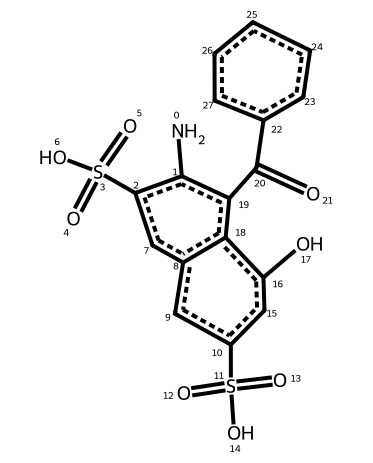 Nc1c(S(=O)(=O)O)cc2cc(S(=O)(=O)O)cc(O)c2c1C(=O)c1ccccc1